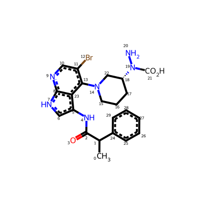 CC(C(=O)Nc1c[nH]c2ncc(Br)c(N3CCC[C@@H](N(N)C(=O)O)C3)c12)c1ccccc1